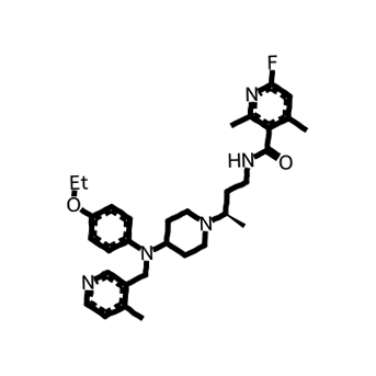 CCOc1ccc(N(Cc2cnccc2C)C2CCN([C@H](C)CCNC(=O)c3c(C)cc(F)nc3C)CC2)cc1